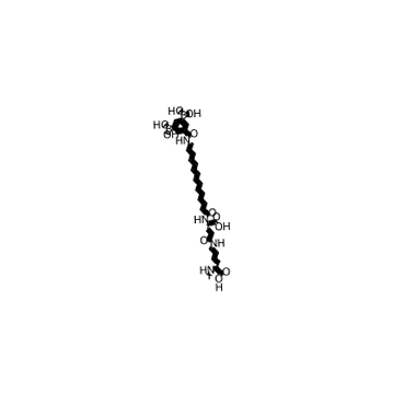 O=C(CC[C@H](NC(=O)CCCCCCCCCCCCCCNC(=O)c1cc(B(O)O)cc(B(O)O)c1)C(=O)O)NCCCC[C@H](NI)C(=O)O